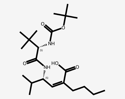 CCCCC(=C[C@@H](NC(=O)[C@@H](NC(=O)OC(C)(C)C)C(C)(C)C)C(C)C)C(=O)O